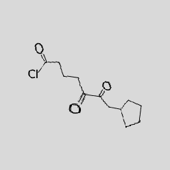 O=C(Cl)CCCC(=O)C(=O)CC1CCCC1